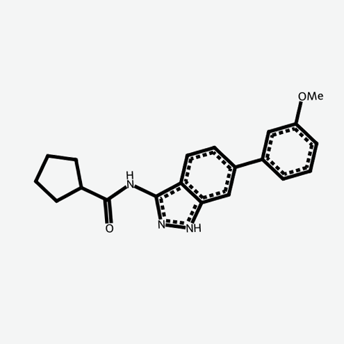 COc1cccc(-c2ccc3c(NC(=O)C4CCCC4)n[nH]c3c2)c1